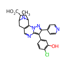 CN1C2C[C@H](C(=O)O)C1Cc1cnc3c(-c4ccc(Cl)c(O)c4)c(-c4ccncc4)nn3c12